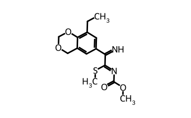 CCc1cc(C(=N)C(=NC(=O)OC)SC)cc2c1OCOC2